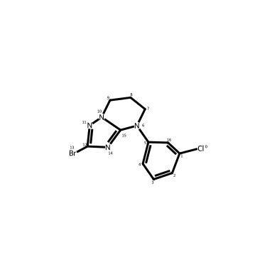 Clc1cccc(N2CCCn3nc(Br)nc32)c1